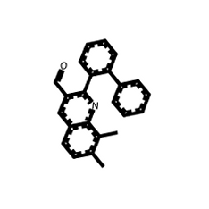 Cc1ccc2cc(C=O)c(-c3ccccc3-c3ccccc3)nc2c1C